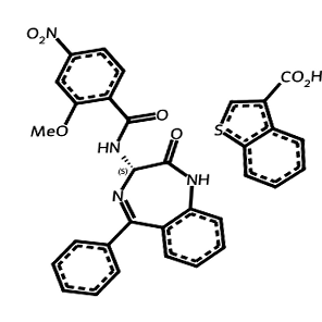 COc1cc([N+](=O)[O-])ccc1C(=O)N[C@H]1N=C(c2ccccc2)c2ccccc2NC1=O.O=C(O)c1csc2ccccc12